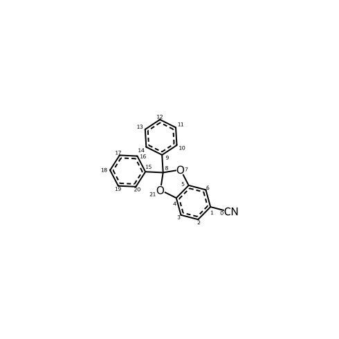 N#Cc1ccc2c(c1)OC(c1ccccc1)(c1ccccc1)O2